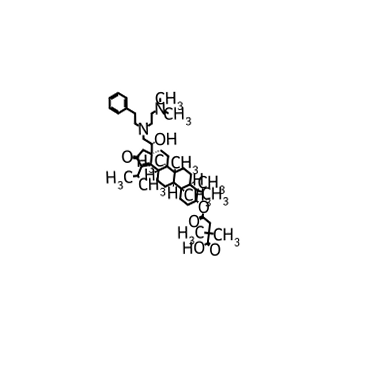 CC(C)C1=C2[C@H]3CC[C@@H]4[C@@]5(C)CC[C@H](OC(=O)CC(C)(C)C(=O)O)C(C)(C)[C@@H]5CC[C@@]4(C)[C@]3(C)CC[C@@]2([C@@H](O)CN(CCc2ccccc2)CCN(C)C)CC1=O